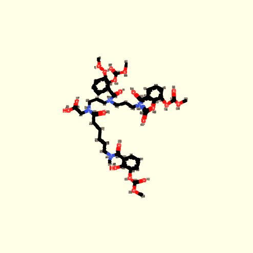 COOc1cccc(C(=O)N(CCCN(CC(=O)O)C(=O)CCCCCN(C)C(=O)c2cccc(OC(=O)OC)c2O)CCCn2c(=O)oc3c(OC(=O)OC)cccc3c2=O)c1OC(=O)OC